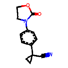 N#CC1(c2ccc(N3CCOC3=O)cc2)CC1